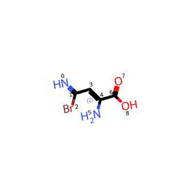 N=C(Br)/C=C(\N)C(=O)O